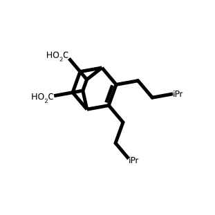 CC(C)CCC1=C(CCC(C)C)C2CCC1C(C(=O)O)C2C(=O)O